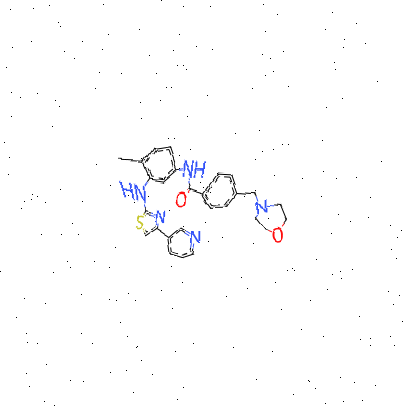 Cc1ccc(NC(=O)c2ccc(CN3CCOCC3)cc2)cc1Nc1nc(-c2cccnc2)cs1